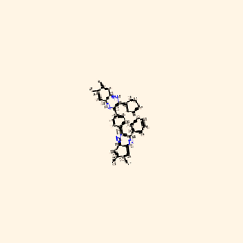 Cc1cc2nc(-c3ccccc3)c(-c3ccc(-c4nc5cc(C)c(C)cc5nc4-c4ccccc4)cc3)nc2cc1C